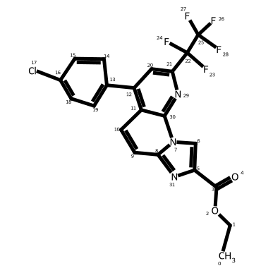 CCOC(=O)c1cn2c(ccc3c(-c4ccc(Cl)cc4)cc(C(F)(F)C(F)(F)F)nc32)n1